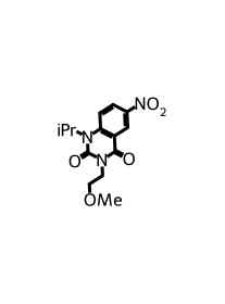 COCCn1c(=O)c2cc([N+](=O)[O-])ccc2n(C(C)C)c1=O